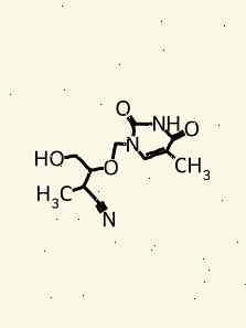 Cc1cn(COC(CO)C(C)C#N)c(=O)[nH]c1=O